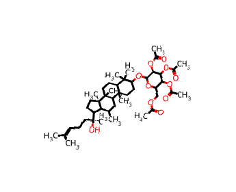 CC(=O)OCC1OC(OC2CCC3(C)C(CCC4(C)C3CC(C)C3C([C@@](C)(O)CCC=C(C)C)CC[C@]34C)C2(C)C)C(OC(C)=O)C(OC(C)=O)C1OC(C)=O